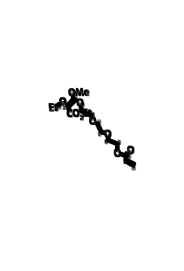 C=CC(=O)OCCOCCOCCOC(OC)=C(OCC)C(=O)OCC